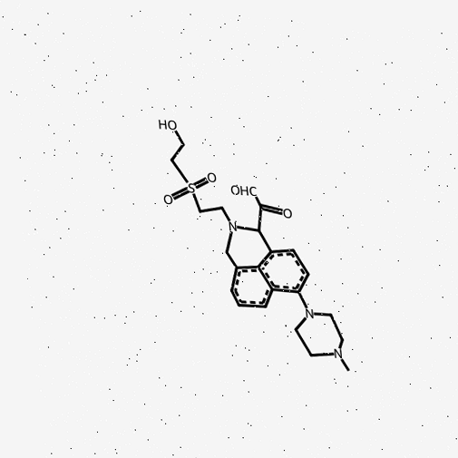 CN1CCN(c2ccc3c4c(cccc24)CN(CCS(=O)(=O)CCO)C3C(=O)C=O)CC1